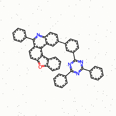 c1ccc(-c2nc(-c3ccccc3)nc(-c3cccc(-c4ccc5nc(-c6ccccc6)c6ccc7oc8ccccc8c7c6c5c4)c3)n2)cc1